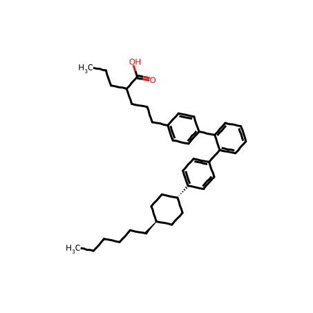 CCCCCC[C@H]1CC[C@H](c2ccc(-c3ccccc3-c3ccc(CCCC(CCC)C(=O)O)cc3)cc2)CC1